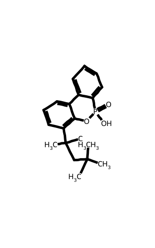 CC(C)(C)CC(C)(C)c1cccc2c1OP(=O)(O)c1ccccc1-2